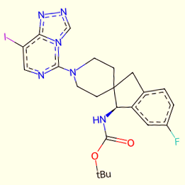 CC(C)(C)OC(=O)N[C@@H]1c2cc(F)ccc2CC12CCN(c1ncc(I)c3nncn13)CC2